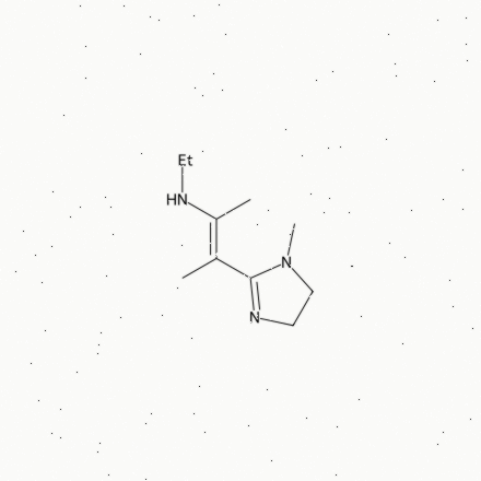 CCN/C(C)=C(\C)C1=NCCN1C